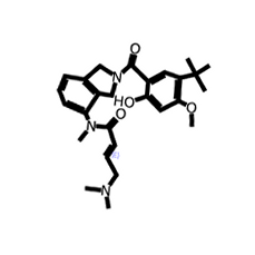 COc1cc(O)c(C(=O)N2Cc3cccc(N(C)C(=O)/C=C/CN(C)C)c3C2)cc1C(C)(C)C